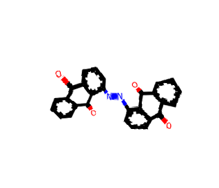 O=C1c2ccccc2C(=O)c2c(N=Nc3cccc4c3C(=O)c3ccccc3C4=O)cccc21